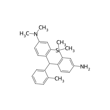 Cc1ccccc1C1c2ccc(N)cc2[Si](C)(C)c2cc(N(C)C)ccc21